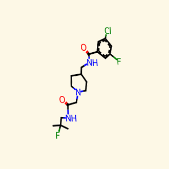 CC(C)(F)CNC(=O)CN1CCC(CNC(=O)c2cc(F)cc(Cl)c2)CC1